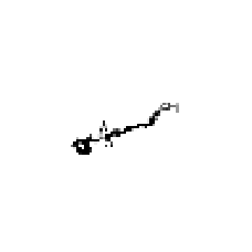 C#CC#CCCC=CC=CC(=O)NCCc1ccccc1